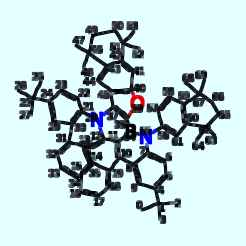 CC(C)(C)c1ccc2c(c1)-c1c3c(cc4ccccc14)N(c1ccc(C(C)(C)C)cc1-c1ccccc1)c1c(oc4cc5c(cc14)C(C)(C)CCC5(C)C)B3N2c1ccc2c(c1)C(C)(C)CCC2(C)C